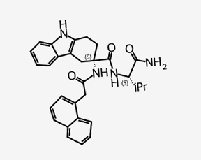 CC(C)[C@H](NC(=O)[C@]1(NC(=O)Cc2cccc3ccccc23)CCc2[nH]c3ccccc3c2C1)C(N)=O